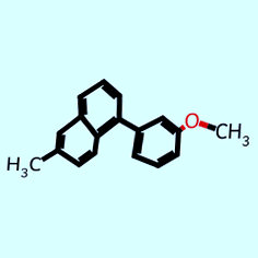 COc1cccc(-c2cccc3cc(C)ccc23)c1